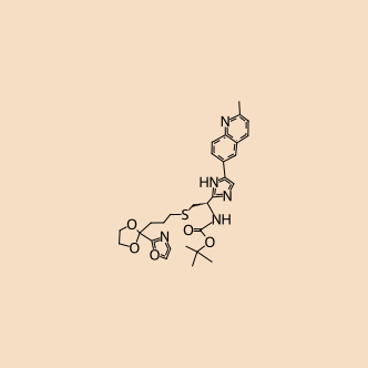 Cc1ccc2cc(-c3cnc([C@H](CSCCCC4(c5ncco5)OCCO4)NC(=O)OC(C)(C)C)[nH]3)ccc2n1